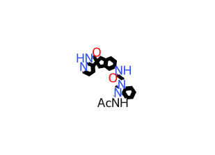 CC(=O)Nc1cccc2c1N(C)CN2CC(=O)Nc1ccc2c(c1)CC1(C2)C(=O)Nc2ncccc21